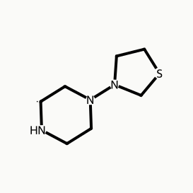 [CH]1CN(N2CCSC2)CCN1